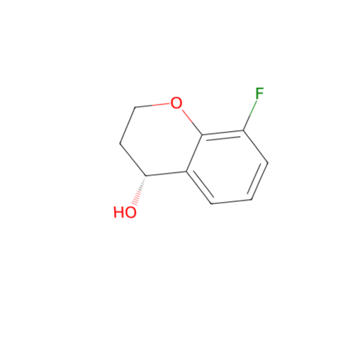 O[C@@H]1CCOc2c(F)cccc21